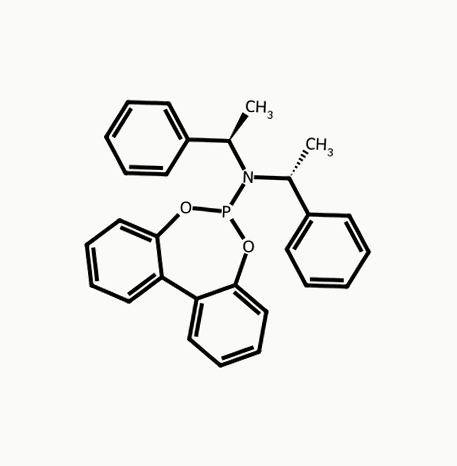 C[C@H](c1ccccc1)N([C@H](C)c1ccccc1)p1oc2ccccc2c2ccccc2o1